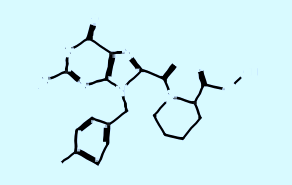 COC(=O)C1CCCCN1C(=O)c1nc2c(=O)[nH]c(N)nc2n1Cc1ccc(F)cc1